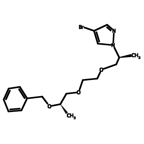 C[C@@H](COCCOC[C@H](C)n1cc(Br)cn1)OCc1ccccc1